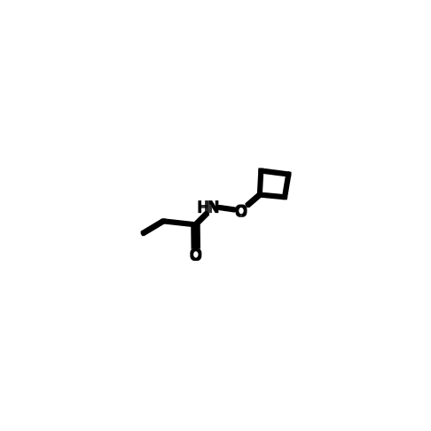 CCC(=O)NOC1CCC1